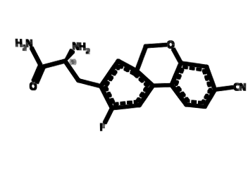 N#Cc1ccc2c(c1)OCc1cc(C[C@H](N)C(N)=O)c(F)cc1-2